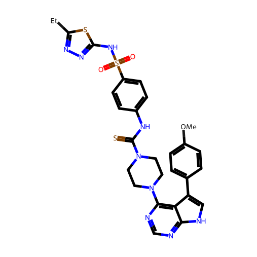 CCc1nnc(NS(=O)(=O)c2ccc(NC(=S)N3CCN(c4ncnc5[nH]cc(-c6ccc(OC)cc6)c45)CC3)cc2)s1